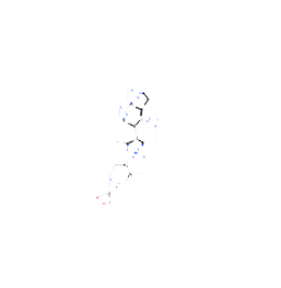 CNc1c(-c2cnn([C@H]3CCN(C4COC4)C[C@@H]3F)c2C)cnc2[nH]ccc12